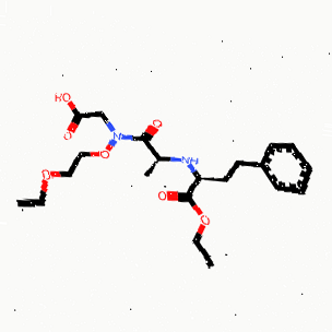 CCOCCON(CC(=O)O)C(=O)[C@H](C)N[C@@H](CCc1ccccc1)C(=O)OCC